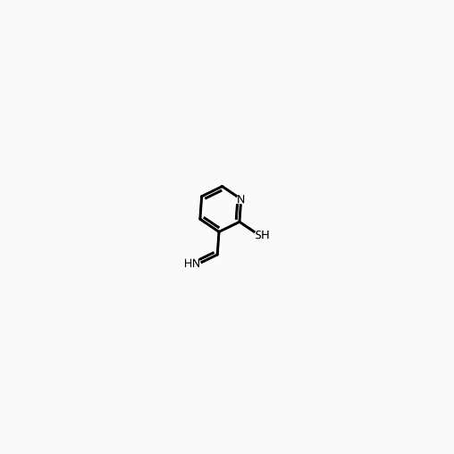 N=Cc1cccnc1S